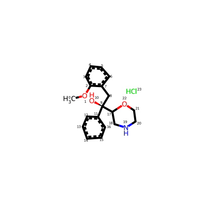 COc1ccccc1C[C@@](O)(c1ccccc1)C1CNCCO1.Cl